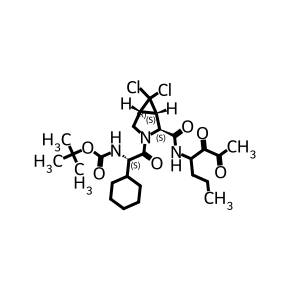 CCCC(NC(=O)[C@@H]1[C@@H]2[C@H](CN1C(=O)[C@@H](NC(=O)OC(C)(C)C)C1CCCCC1)C2(Cl)Cl)C(=O)C(C)=O